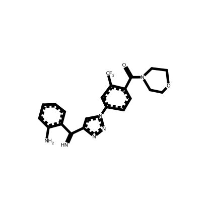 N=C(c1cn(-c2ccc(C(=O)N3CCOCC3)c(C(F)(F)F)c2)nn1)c1ccccc1N